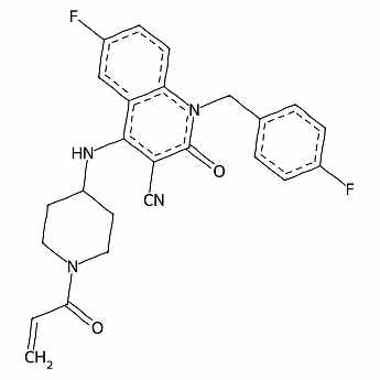 C=CC(=O)N1CCC(Nc2c(C#N)c(=O)n(Cc3ccc(F)cc3)c3ccc(F)cc23)CC1